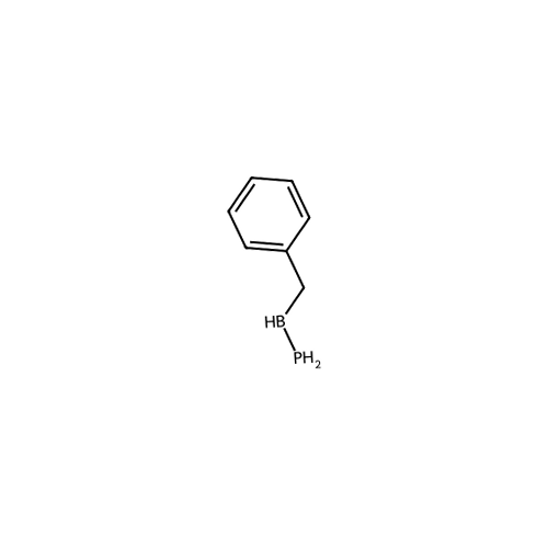 PBCc1ccccc1